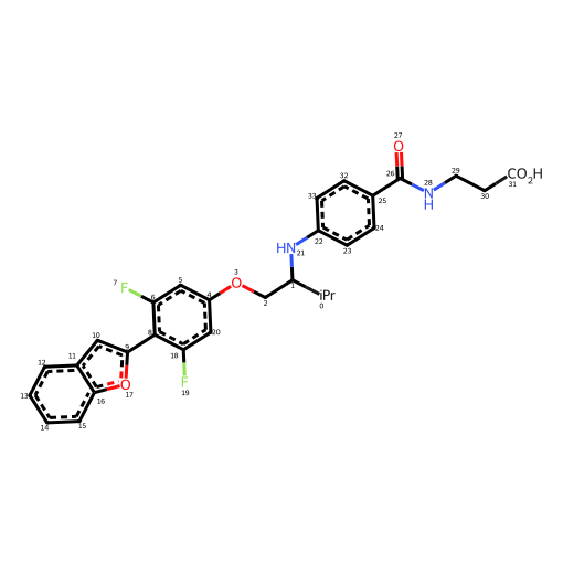 CC(C)C(COc1cc(F)c(-c2cc3ccccc3o2)c(F)c1)Nc1ccc(C(=O)NCCC(=O)O)cc1